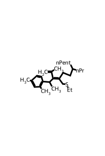 C=C(C)/C(=C(\CCC(CCC)CCCCC)CSCC)C(C)c1ccc(C)cc1C